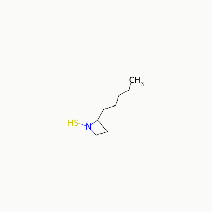 CCCCCC1CCN1S